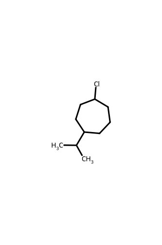 CC(C)C1CCCC(Cl)CC1